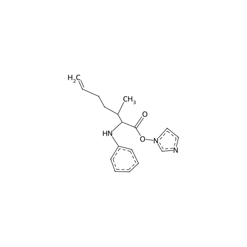 C=CCCC(C)C(Nc1ccccc1)C(=O)On1ccnc1